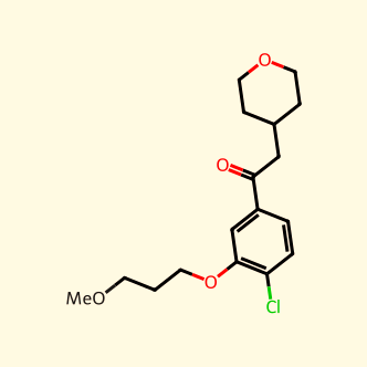 COCCCOc1cc(C(=O)CC2CCOCC2)ccc1Cl